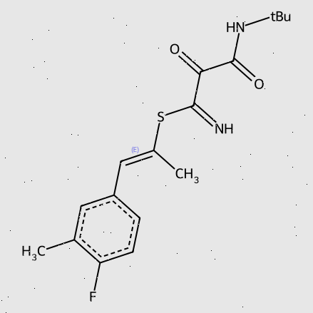 C/C(=C\c1ccc(F)c(C)c1)SC(=N)C(=O)C(=O)NC(C)(C)C